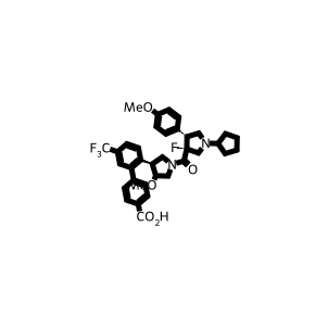 COc1ccc([C@@H]2CN(C3CCCC3)C[C@@]2(F)C(=O)N2CC(OC)[C@@H](c3ccc(C(F)(F)F)cc3-c3ccc(C(=O)O)cc3)C2)cc1